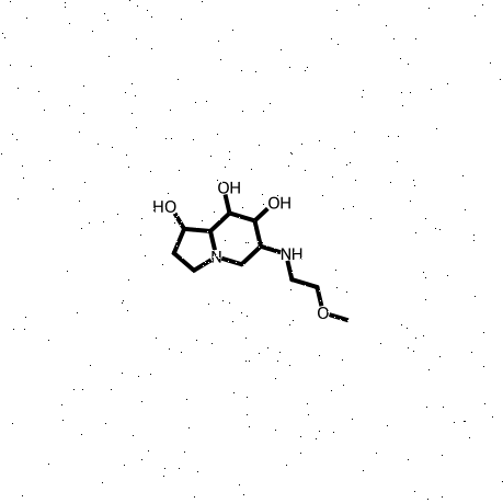 COCCNC1CN2CCC(O)C2C(O)C1O